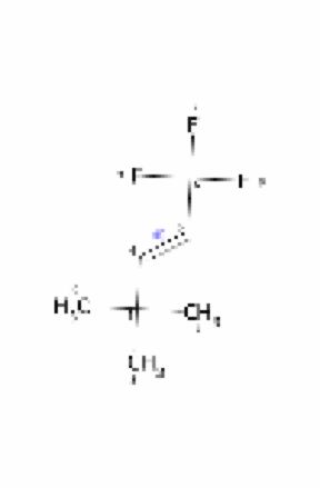 CC(C)(C)/C=C/C(F)(F)F